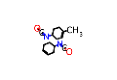 CC1=CCC(N=C=O)CC1.O=C=NC1CC=CCC1